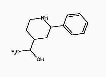 OC(C1CCNC(c2ccccc2)C1)C(F)(F)F